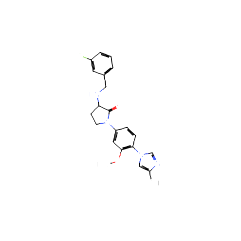 COc1cc(N2CCC(NCc3cccc(F)c3)C2=O)ccc1-n1cnc(C)c1